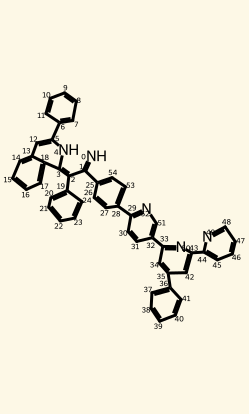 N=C(/C(=C1\NC(c2ccccc2)=Cc2ccccc21)c1ccccc1)c1ccc(-c2ccc(-c3cc(-c4ccccc4)cc(-c4ccccn4)n3)cn2)cc1